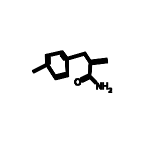 C=C(Cc1ccc(C)cc1)C(N)=O